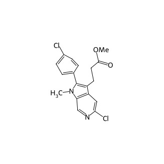 COC(=O)CCc1c(-c2ccc(Cl)cc2)n(C)c2cnc(Cl)cc12